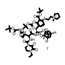 CCN1CCN(C(=O)NC(C(=O)N[C@@H](Cc2ccc(SCC[N+]3(C)CCCC3)c(C(=O)OC(C)(C)C)c2OC(=O)OC(C)(C)C)B2O[C@@H]3C[C@@H]4C[C@@H](C4(C)C)[C@]3(C)O2)c2csc(NC(=O)OC(C)(C)C)n2)C(=O)C1=O.[I-]